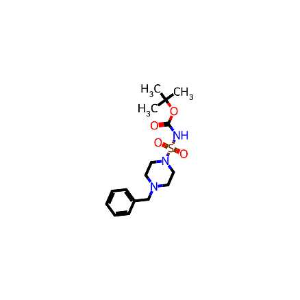 CC(C)(C)OC(=O)NS(=O)(=O)N1CCN(Cc2ccccc2)CC1